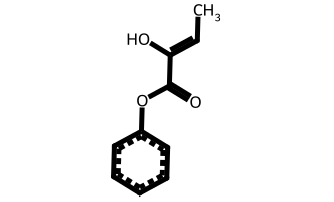 CC=C(O)C(=O)Oc1cc[c]cc1